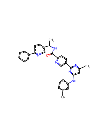 Cc1cc(Nc2cccc(C#N)c2)nc(-c2ccc(C(=O)NC(C)c3ccc(-c4ccccc4)nc3)nc2)n1